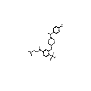 CC(c1ccc(Cl)cc1)N1CCN(Cc2cc(N(C)CCN(C)C)ccc2C(F)(F)F)CC1